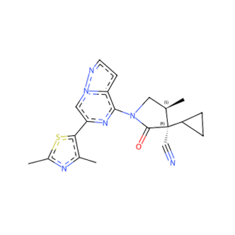 Cc1nc(C)c(-c2cn3nccc3c(N3C[C@@H](C)[C@@](C#N)(C4CC4)C3=O)n2)s1